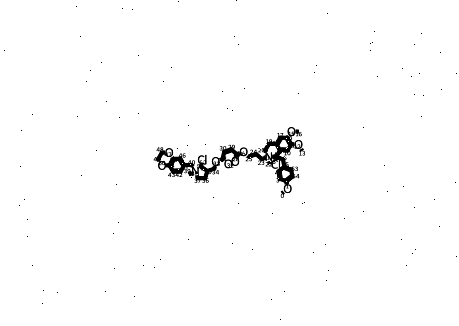 COc1ccc(CC2(Cl)c3cc(OC)c(OC)cc3CC[N+]2(C)CCCOC(=O)/C=C\C(=O)OCC2CC[N+](C)(Cc3ccc4c(c3)OCCO4)C2Cl)cc1